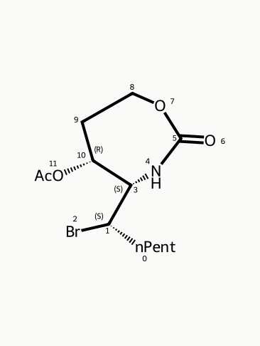 CCCCC[C@H](Br)[C@H]1NC(=O)OCC[C@H]1OC(C)=O